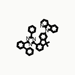 CC1(C)c2cc(-n3c4ccccc4c4cccnc43)ccc2-c2c(-c3nc(-c4ccccc4)nc(-c4ccccc4-c4ccccc4)n3)cccc21